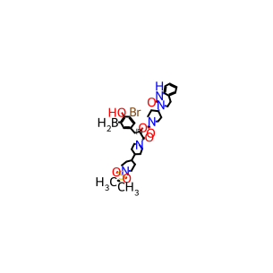 Bc1cc(C[C@@H](OC(=O)N2CCC(N3CCc4ccccc4NC3=O)CC2)C(=O)N2CCC(C3CCN(S(=O)(=O)C(C)C)CC3)CC2)cc(Br)c1O